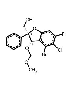 COCO[C@H]1c2c(cc(F)c(Cl)c2Br)O[C@]1(CO)c1ccccc1